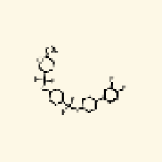 CCCCC1CCC(C(F)(F)OC2CCC(C(F)(F)OC3CCC(c4ccc(F)c(F)c4)CC3)CC2)CO1